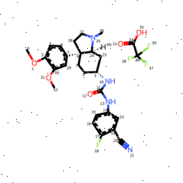 COc1ccc([C@@]23CC[C@@H](NC(=O)Nc4ccc(F)c(C#N)c4)C[C@@H]2N(C)CC3)cc1OC.O=C(O)C(F)(F)F